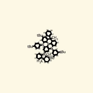 CC(C)(C)c1ccc(N2c3cc(N4c5ccccc5C5(C)CCCCC45C)cc4c3B3c5c(cccc5C(C)(c5ccccc5)c5cc(C(C)(C)C)cc2c53)N4c2cc(C(C)(C)C)cc(C(C)(C)C)c2)cc1